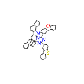 c1ccc2cc(-c3nc(-c4ccc5sc6ccccc6c5c4)nc(-c4cc5c(cc4-n4c6cc7ccccc7cc6c6ccc7ccccc7c64)oc4ccccc45)n3)ccc2c1